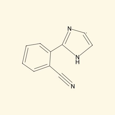 N#Cc1ccccc1-c1n[c]c[nH]1